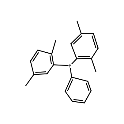 Cc1ccc(C)c(P(c2ccccc2)c2cc(C)ccc2C)c1